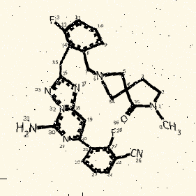 CN1CCC2(CN(Cc3cccc(F)c3Cc3nc4cc(-c5cccc(C#N)c5F)nc(N)n4n3)C2)C1=O